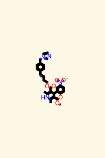 COC(=O)C1=C(C)NC(C)=C(C(=O)OCC/C=C/c2ccc(Cn3ccnc3)cc2)C1c1cccc([N+](=O)[O-])c1